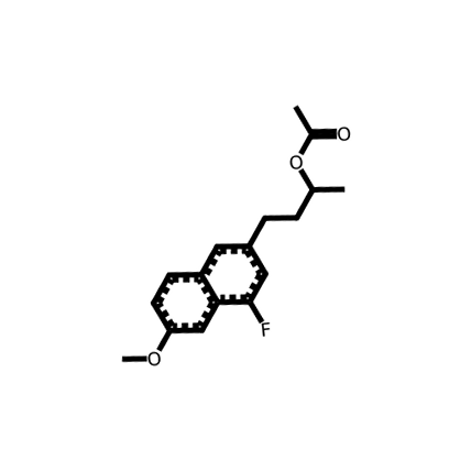 COc1ccc2cc(CCC(C)OC(C)=O)cc(F)c2c1